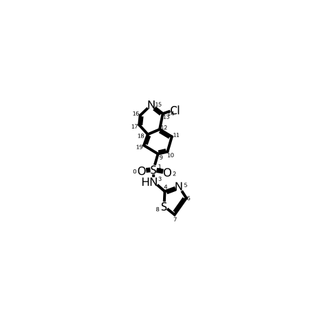 O=S(=O)(Nc1nccs1)c1ccc2c(Cl)nccc2c1